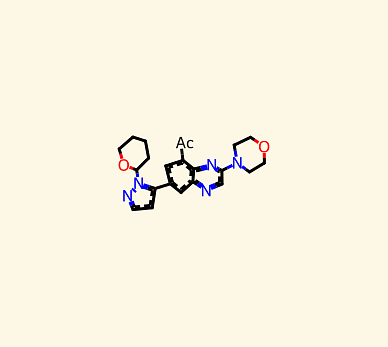 CC(=O)c1cc(-c2ccnn2C2CCCCO2)cc2ncc(N3CCOCC3)nc12